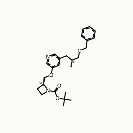 C[C@H](COCc1ccccc1)Cc1cncc(OC[C@@H]2CCN2C(=O)OC(C)(C)C)c1